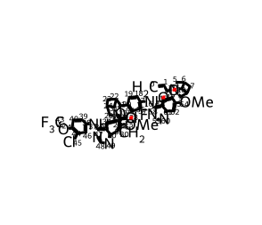 C=CC(=O)N1CC2CC(C1)C2Oc1cc2c(Nc3ccc(C4C5CC(CN4C(=O)C=C)C5Oc4cc5c(Nc6ccc(OC(F)(F)F)c(Cl)c6)ncnc5cc4OC)c(Cl)c3F)ncnc2cc1OC